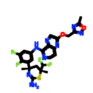 Cc1nc(COc2cnc3c(Nc4cc(F)c(F)c([C@]5(C)C[C@](C)(C(F)F)SC(N)=N5)c4)nccc3n2)no1